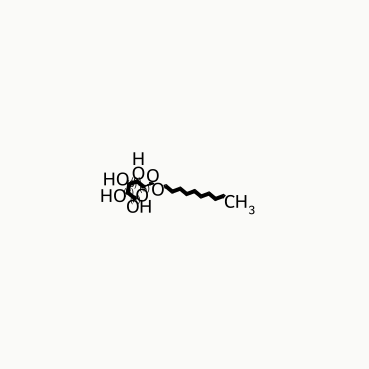 CCCCCCCCCCOC(=O)[C@H]1O[C@@H](O)[C@H](O)[C@@H](O)[C@@H]1O